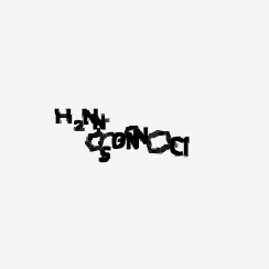 CSc1cccc(N(C)N)c1COc1ccn(-c2ccc(Cl)cc2)n1